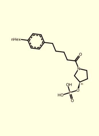 CCCCCCc1ccc(CCCCC(=O)N2CC[C@@H](OP(=O)(O)O)C2)cc1